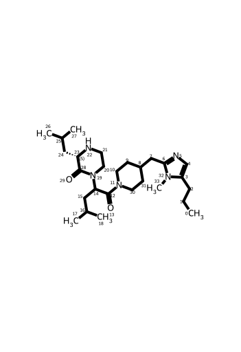 CCCc1cnc(CC2CCN(C(=O)C(CC(C)C)N3CCN[C@@H](CC(C)C)C3=O)CC2)n1C